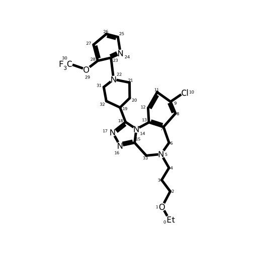 CCOCCCN1Cc2cc(Cl)ccc2-n2c(nnc2C2CCN(c3ncccc3OC(F)(F)F)CC2)C1